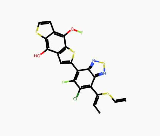 C=CS/C(=C\C)c1c(Cl)c(F)c(-c2cc3c(O)c4sccc4c(OF)c3s2)c2nsnc12